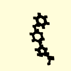 IPn1cc(C2=CCN(Cc3ccccc3)CC2)cn1